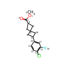 COC(=O)C1CC2(C1)CC(c1ccc(Cl)c(F)c1)C2